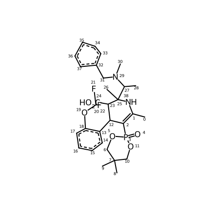 CC1=C(P2(=O)OCC(C)(C)CO2)C(c2ccccc2OC(F)F)C(C(=O)O)C(C)(C(C)N(C)Cc2ccccc2)N1